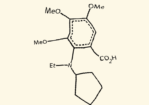 CCN(c1c(C(=O)O)cc(OC)c(OC)c1OC)C1CCCC1